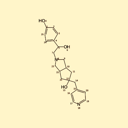 Oc1ccc(C(O)CN2CC3CC(O)(Cc4ccncc4)CC3C2)cc1